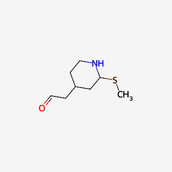 CSC1CC(CC=O)CCN1